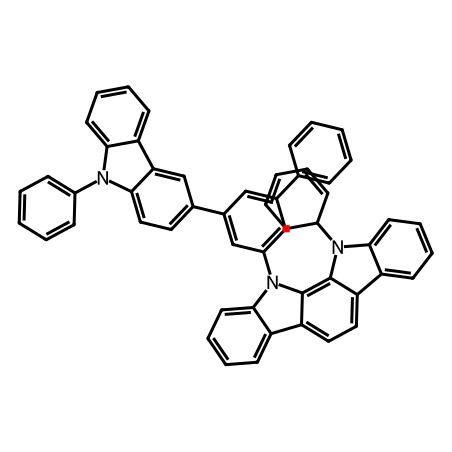 C1=CCC(n2c3ccccc3c3ccc4c5ccccc5n(-c5cc(-c6ccccc6)cc(-c6ccc7c(c6)c6ccccc6n7-c6ccccc6)c5)c4c32)C=C1